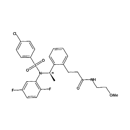 COCCNC(=O)CCc1ccccc1[C@@H](C)N(c1cc(F)ccc1F)S(=O)(=O)c1ccc(Cl)cc1